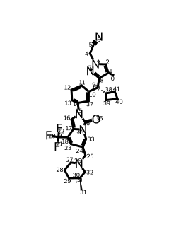 Cc1cn(CC#N)nc1[C@@H](c1cccc(-n2cc3c(C(F)(F)F)cc(CN4CCC[C@H](C)C4)cn3c2=O)c1)C1CCC1